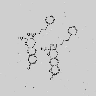 CC1(C)Oc2cc3oc(=O)ccc3cc2C[C@@H]1OCC=Cc1ccccc1.CC1(C)Oc2cc3oc(=O)ccc3cc2C[C@@H]1OCC=Cc1ccccc1